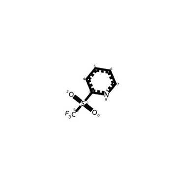 O=S(=O)(c1ccccn1)C(F)(F)F